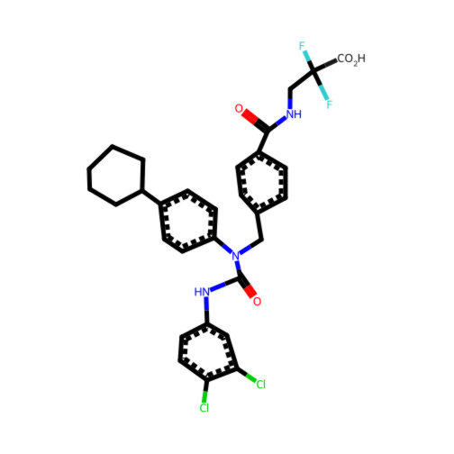 O=C(NCC(F)(F)C(=O)O)c1ccc(CN(C(=O)Nc2ccc(Cl)c(Cl)c2)c2ccc(C3CCCCC3)cc2)cc1